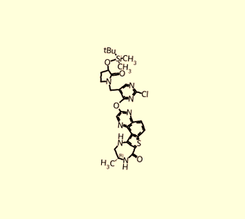 C[C@@H]1CNc2c(sc3ccc4nc(Oc5nc(Cl)ncc5CN5CCC(O[Si](C)(C)C(C)(C)C)C5=O)cnc4c23)C(=O)N1